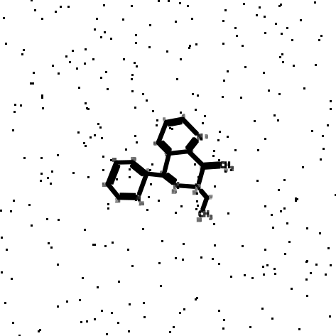 C=C1c2ncccc2C(c2ccccn2)=NN1CC